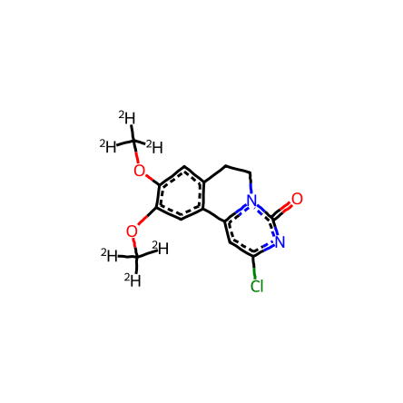 [2H]C([2H])([2H])Oc1cc2c(cc1OC([2H])([2H])[2H])-c1cc(Cl)nc(=O)n1CC2